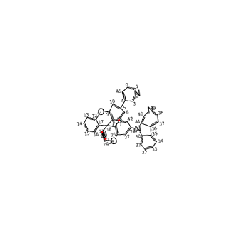 c1cncc(-c2ccc3c(c2)Oc2ccccc2C32c3ccccc3Oc3cc(-n4c5ccccc5c5ccncc54)ccc32)c1